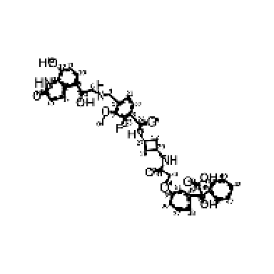 COc1c(CNC[C@H](O)c2ccc(O)c3[nH]c(=O)ccc23)ccc(C(=O)N[C@H]2C[C@H](NC(=O)COc3cccc([C@](O)(C(=O)O)c4ccccc4)c3)C2)c1F